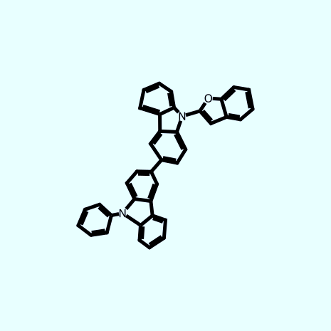 c1ccc(-n2c3ccccc3c3cc(-c4ccc5c(c4)c4ccccc4n5-c4cc5ccccc5o4)ccc32)cc1